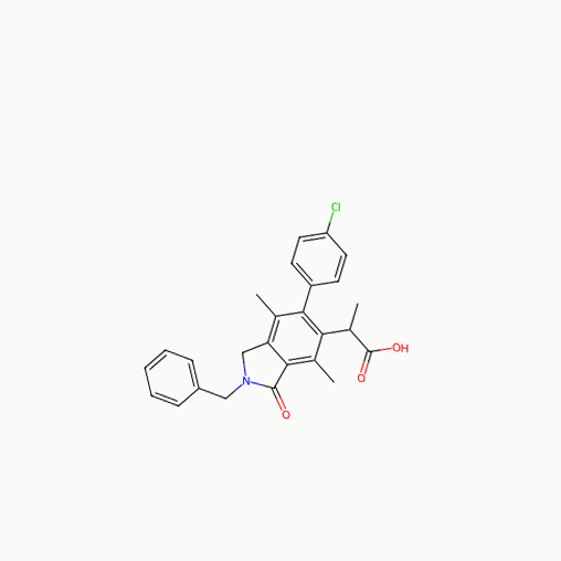 Cc1c2c(c(C)c(C(C)C(=O)O)c1-c1ccc(Cl)cc1)C(=O)N(Cc1ccccc1)C2